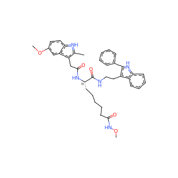 CONC(=O)CCCCC[C@H](NC(=O)Cc1c(C)[nH]c2ccc(OC)cc12)C(=O)NCCc1c(-c2ccccc2)[nH]c2ccccc12